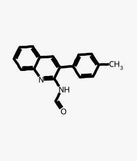 Cc1ccc(-c2cc3ccccc3nc2NC=O)cc1